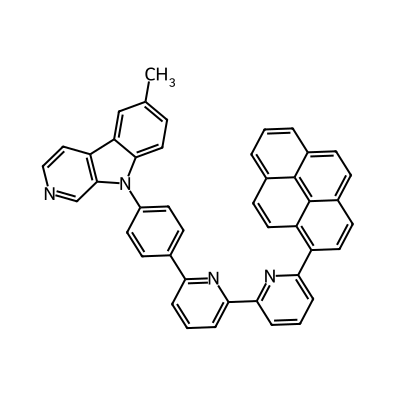 Cc1ccc2c(c1)c1ccncc1n2-c1ccc(-c2cccc(-c3cccc(-c4ccc5ccc6cccc7ccc4c5c67)n3)n2)cc1